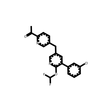 CC(=O)c1ccc(Cc2cnc(OC(F)F)c(-c3cccc(Cl)c3)c2)cn1